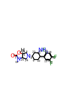 CN1C(=O)O[C@H]2CN([C@H]3CCC(c4cc(F)c(F)cc4F)[C@@H](N)C3)CC21